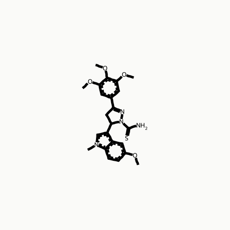 COc1ccc2c(c1)c(C1CC(c3cc(OC)c(OC)c(OC)c3)=NN1C(N)=S)cn2C